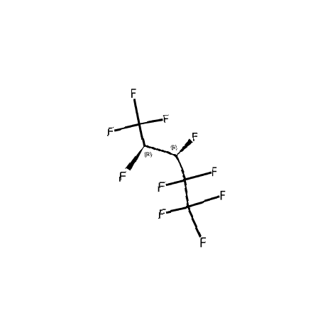 F[C@H]([C@@H](F)C(F)(F)C(F)(F)F)C(F)(F)F